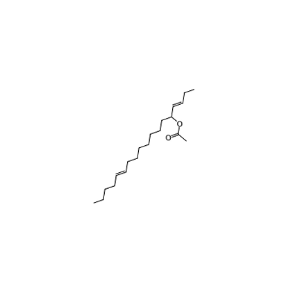 CC/C=C/C(CCCCCCCC=CCCCC)OC(C)=O